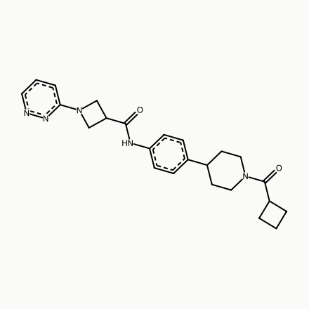 O=C(Nc1ccc(C2CCN(C(=O)C3CCC3)CC2)cc1)C1CN(c2cccnn2)C1